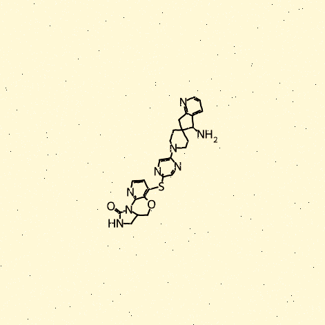 N[C@@H]1c2cccnc2CC12CCN(c1cnc(Sc3ccnc4c3OCC3CNC(=O)N43)cn1)CC2